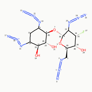 [N-]=[N+]=NC[C@H]1O[C@H](O[C@@H]2C(N=[N+]=[N-])CC(N=[N+]=[N-])[C@H](O)[C@H]2O)C(N=[N+]=[N-])[C@H](F)[C@@H]1O